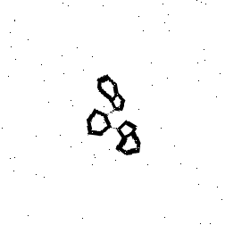 C1=CC([C@H]2CCCC[C@H]2C2C=Cc3ccccc32)c2ccccc21